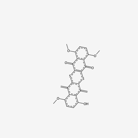 C=c1c2sc3c(=O)c4c(OC)ccc(OC)c4c(=O)c=3sc2c(=C)c2c(OC)ccc(O)c12